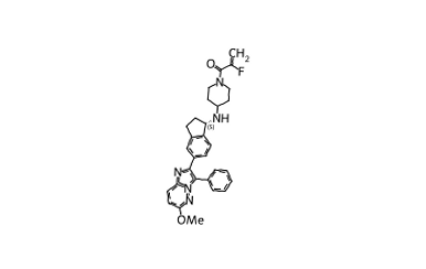 C=C(F)C(=O)N1CCC(N[C@H]2CCc3cc(-c4nc5ccc(OC)nn5c4-c4ccccc4)ccc32)CC1